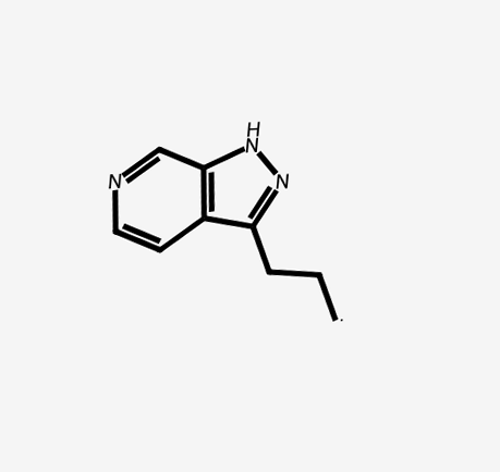 [CH2]CCc1n[nH]c2cnccc12